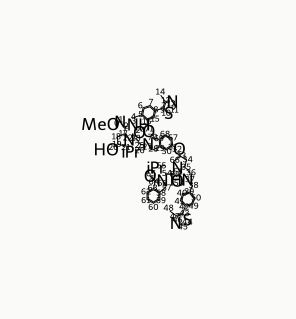 CO/N=C(/NCc1ccc(-c2scnc2C)cc1)[C@@H]1C[C@@H](O)CN1C(=O)[C@H](C(C)C)N1Cc2cc(O[C@@H]3C[C@@H](CNCc4ccc(-c5scnc5C)cc4)N(C(=O)[C@H](C(C)C)N4Cc5ccccc5C4=O)C3)ccc2C1=O